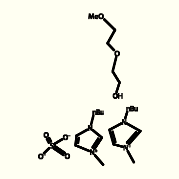 CCCCn1cc[n+](C)c1.CCCCn1cc[n+](C)c1.COCCOCCO.O=S(=O)([O-])[O-]